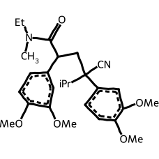 CCN(C)C(=O)C(CC(C#N)(c1ccc(OC)c(OC)c1)C(C)C)c1ccc(OC)c(OC)c1